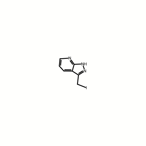 ICc1n[nH]c2ncccc12